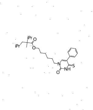 CC(C)CC(C)(C(=O)OCCCCCCn1cc(-c2ccccc2)c(=S)[nH]c1=O)C(C)C